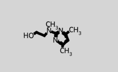 Cc1cc(C)nc(N(C)CCO)n1